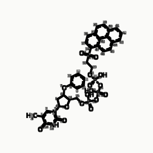 Cc1cn([C@H]2CC(Oc3ccccc3)[C@@H](COP(=O)(O)OP(=O)(O)OP(=O)(O)OCCS(=O)(=O)c3ccc4ccc5cccc6ccc3c4c56)O2)c(=O)[nH]c1=O